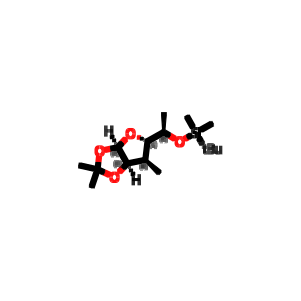 C[C@H]1[C@H]2OC(C)(C)O[C@H]2O[C@@H]1[C@@H](C)O[Si](C)(C)C(C)(C)C